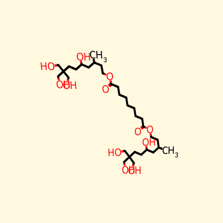 CC(CCOC(=O)CCCCCCCC(=O)OCCC(C)CC(O)CCC(CO)(CO)CO)CC(O)CCC(CO)(CO)CO